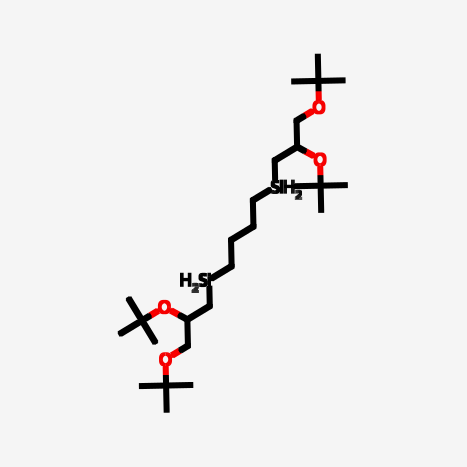 CC(C)(C)OCC(C[SiH2]CCCC[SiH2]CC(COC(C)(C)C)OC(C)(C)C)OC(C)(C)C